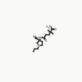 CCCN1CCC(C#N)(NC(=O)[CH]CC(C)(C)C(N)=O)C1